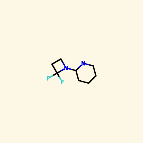 FC1(F)CCN1C1CCCC[N]1